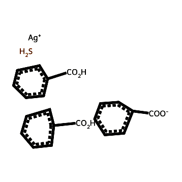 O=C(O)c1ccccc1.O=C(O)c1ccccc1.O=C([O-])c1ccccc1.S.[Ag+]